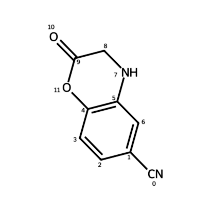 N#Cc1ccc2c(c1)NCC(=O)O2